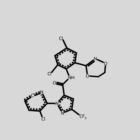 O=C(Nc1c(Cl)cc(Cl)cc1C1=NOCCO1)c1cc(C(F)(F)F)nn1-c1ncccc1Cl